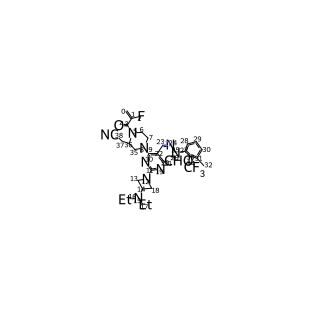 C=C(F)C(=O)N1CCN(c2nc(N3CC(N(CC)CC)C3)nc(C=O)c2/C=N\N(C)c2cccc(C)c2C(F)(F)F)CC1CC#N